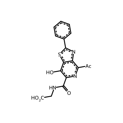 CC(=O)c1nc(C(=O)NCC(=O)O)c(O)c2sc(-c3ccccc3)nc12